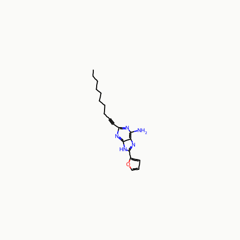 CCCCCCCCC#Cc1nc(N)c2nc(-c3ccco3)[nH]c2n1